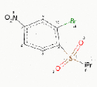 CC(C)S(=O)(=O)c1ccc([N+](=O)[O-])cc1Br